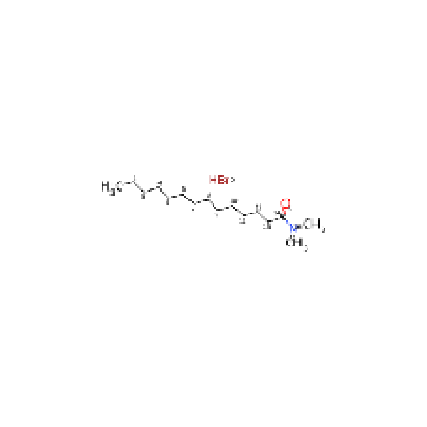 Br.CCCCCCCCCCCCCC(=O)N(C)C